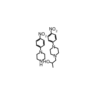 CC(O)CN1CCN(c2ccc([N+](=O)[O-])cc2)CC1.O=[N+]([O-])c1ccc(N2CCNCC2)cc1